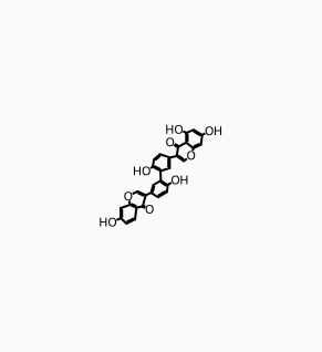 O=c1c(-c2ccc(O)c(-c3cc(-c4coc5cc(O)cc(O)c5c4=O)ccc3O)c2)coc2cc(O)ccc12